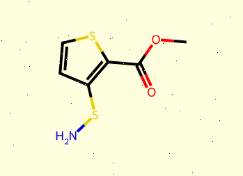 COC(=O)c1sccc1SN